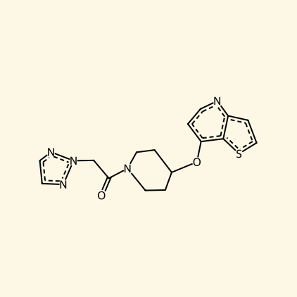 O=C(Cn1nccn1)N1CCC(Oc2ccnc3ccsc23)CC1